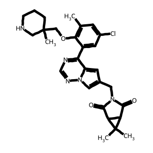 Cc1cc(Cl)cc(-c2ncnn3cc(CN4C(=O)C5C(C4=O)C5(C)C)cc23)c1OCC1(C)CCCNC1